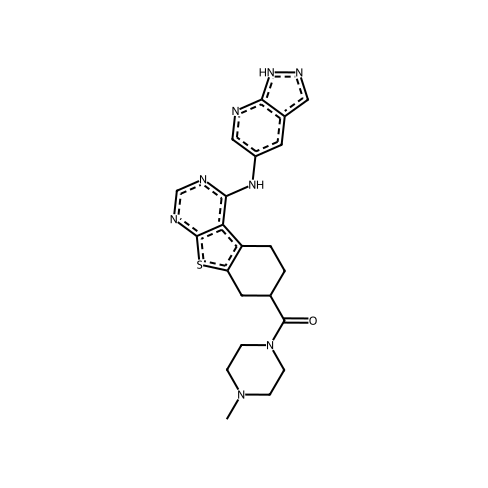 CN1CCN(C(=O)C2CCc3c(sc4ncnc(Nc5cnc6[nH]ncc6c5)c34)C2)CC1